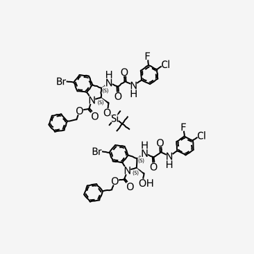 CC(C)(C)[Si](C)(C)OC[C@@H]1[C@@H](NC(=O)C(=O)Nc2ccc(Cl)c(F)c2)c2ccc(Br)cc2N1C(=O)OCc1ccccc1.O=C(Nc1ccc(Cl)c(F)c1)C(=O)N[C@H]1c2ccc(Br)cc2N(C(=O)OCc2ccccc2)[C@@H]1CO